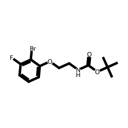 CC(C)(C)OC(=O)NCCOc1cccc(F)c1Br